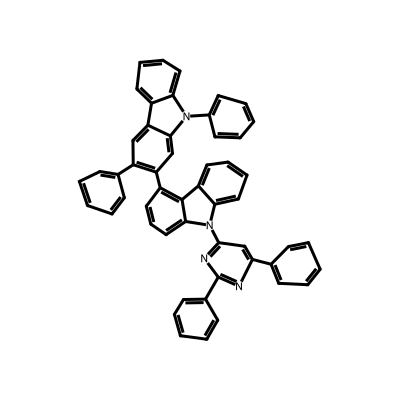 c1ccc(-c2cc(-n3c4ccccc4c4c(-c5cc6c(cc5-c5ccccc5)c5ccccc5n6-c5ccccc5)cccc43)nc(-c3ccccc3)n2)cc1